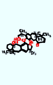 C[C@@H](CO)c1cc2c(c(O)c1Oc1c3c(cc4c1OC[C@@H]4C)C=C[C@H]1C(C)(C)CCC[C@]1(O)C3)CC1C(=O)CCC(C)(C)[C@@H]1C=C2